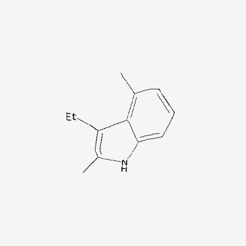 CCc1c(C)[nH]c2cccc(C)c12